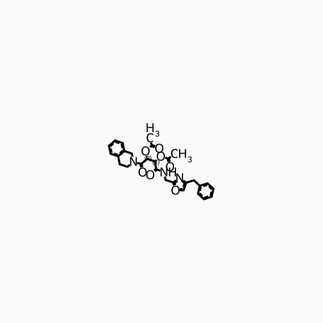 CC(=O)O[C@@H](C(=O)NCc1nc(Cc2ccccc2)co1)[C@@H](OC(C)=O)C(=O)N1CCc2ccccc2C1